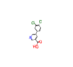 O=C(O)c1cncc(-c2ccc(Cl)c(Cl)c2)c1